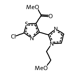 COCCn1ccnc1-c1nc(Cl)sc1C(=O)OC